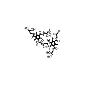 CN(CC(=O)N(C)c1c(I)c(C(=O)NCC(O)CO)c(I)c(C(=O)NCC(O)CO)c1I)CC(=O)N(C)c1c(I)c(C(=O)NCC(O)CO)c(I)c(C(=O)NCC(O)CO)c1I